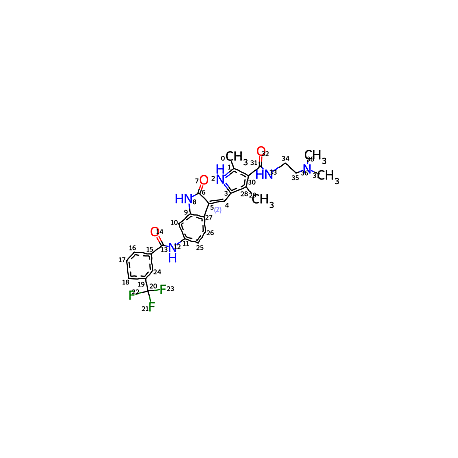 Cc1[nH]c(/C=C2\C(=O)Nc3cc(NC(=O)c4cccc(C(F)(F)F)c4)ccc32)c(C)c1C(=O)NCCN(C)C